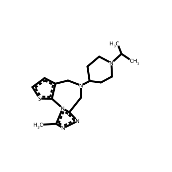 Cc1nnc2n1-c1sccc1CN(C1CCN(C(C)C)CC1)C2